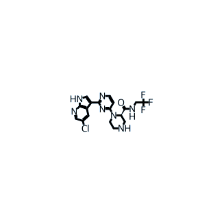 O=C(NCC(F)(F)F)[C@H]1CNCCN1c1ccnc(-c2c[nH]c3ncc(Cl)cc23)n1